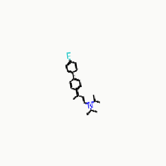 CC(CCN(C(C)C)C(C)C)c1ccc(-c2ccc(F)cc2)cc1